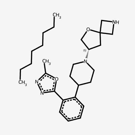 CCCCCCCC.Cc1nnc(-c2ccccc2C2CCN([C@@H]3COC4(CNC4)C3)CC2)o1